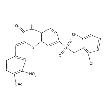 CC(=O)Oc1ccc(/C=C2\Sc3cc(S(=O)(=O)Cc4c(Cl)cccc4Cl)ccc3NC2=O)cc1[N+](=O)[O-]